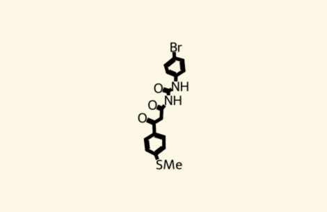 CSc1ccc(C(=O)CC(=O)NC(=O)Nc2ccc(Br)cc2)cc1